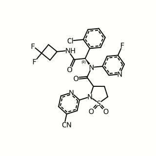 N#Cc1ccnc(N2C(C(=O)N(c3cncc(F)c3)[C@@H](C(=O)NC3CC(F)(F)C3)c3ccccc3Cl)CCS2(=O)=O)c1